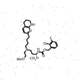 COCCN(CCCCc1ccc2c(n1)NCCC2)CC[C@H](NC(=O)OCc1cccc(F)c1Cl)C(=O)O